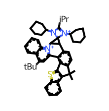 CC(C)C1=[N+](C2CCCCC2)C2(C3c4ccc5c(c4-c4cc(C(C)(C)C)c6ccccc6[n+]4C32)-c2sc3ccccc3c2C5(C)C)N1C1CCCCC1